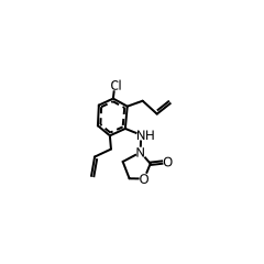 C=CCc1ccc(Cl)c(CC=C)c1NN1CCOC1=O